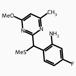 COc1cc(C)nc(C(SC)c2ccc(F)cc2N)n1